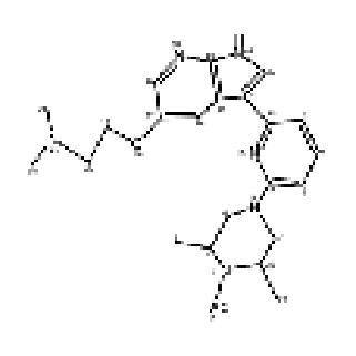 CC(=O)N1C(C)CN(c2cccc(-c3c[nH]c4ncc(OCCN(C)C)cc34)n2)CC1C